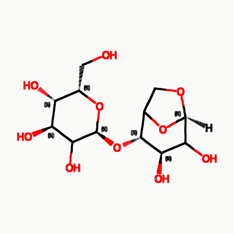 OC[C@@H]1O[C@@H](O[C@@H]2C3CO[C@H](O3)C(O)[C@H]2O)C(O)[C@@H](O)[C@@H]1O